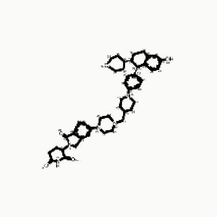 O=C1CCC(N2Cc3cc(N4CCN(CC5CCN(c6ccc([C@@H]7c8ccc(O)cc8CC[C@@H]7C7CCOCC7)cc6)CC5)CC4)ccc3C2=O)C(=O)N1